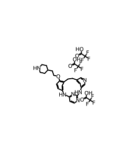 O=C(O)C(F)(F)F.O=C(O)C(F)(F)F.O=C(O)C(F)(F)F.c1cc2nc(n1)Nc1cncc(c1)CCc1cc(ccc1OCCC1CCNCC1)N2